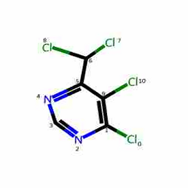 Clc1ncnc(C(Cl)Cl)c1Cl